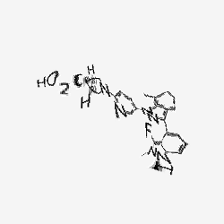 Cc1cccc2c(C3=CC=CC4NN(C)C(F)=C34)nn(-c3ccc(N4C[C@@H]5[C@H](C4)[C@H]5C(=O)O)nc3)c12